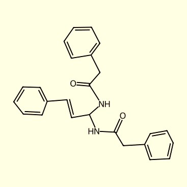 O=C(Cc1ccccc1)NC(C=Cc1ccccc1)NC(=O)Cc1ccccc1